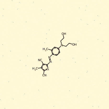 Cc1cc(N(CCO)CCO)ccc1N=Nc1sc(C#N)c(C)c1C#N